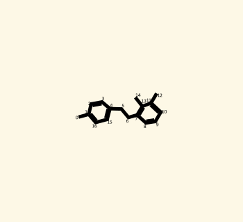 Cc1ccc(CCc2[c]ccc(C)c2C)cc1